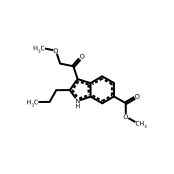 CCCc1[nH]c2cc(C(=O)OC)ccc2c1C(=O)COC